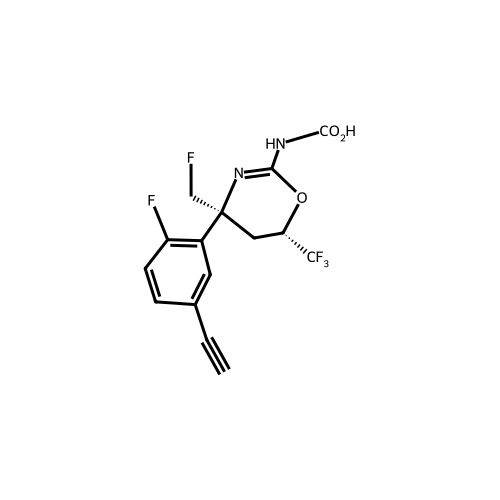 C#Cc1ccc(F)c([C@]2(CF)C[C@@H](C(F)(F)F)OC(NC(=O)O)=N2)c1